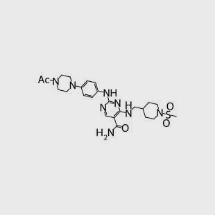 CC(=O)N1CCN(c2ccc(Nc3ncc(C(N)=O)c(NCC4CCN(S(C)(=O)=O)CC4)n3)cc2)CC1